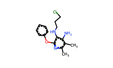 Cc1nc(Oc2ccccc2)c(NCCCCl)c(N)c1C